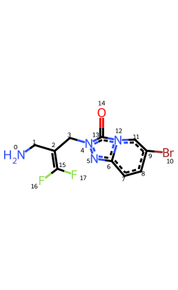 NCC(Cn1nc2ccc(Br)cn2c1=O)=C(F)F